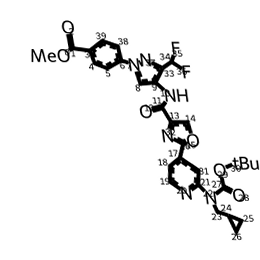 COC(=O)c1ccc(-n2cc(NC(=O)c3coc(-c4ccnc(N(CC5CC5)C(=O)OC(C)(C)C)c4)n3)c(C(F)F)n2)cc1